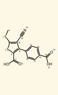 CSc1sc(C(=O)O)c(-c2ccc(C(=O)O)cc2)c1C#N